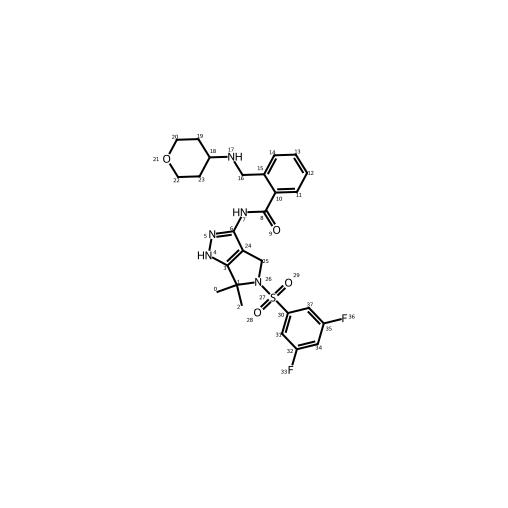 CC1(C)c2[nH]nc(NC(=O)c3ccccc3CNC3CCOCC3)c2CN1S(=O)(=O)c1cc(F)cc(F)c1